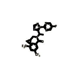 CC(c1ncnn1-c1ncc(F)cn1)N(CC1CC1)C(=O)c1cc(C(F)(F)F)cc(C(F)(F)F)c1